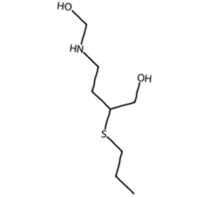 CCCSC(CO)CCNCO